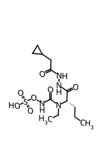 CCC[C@@H](C(=O)NNC(=O)CC1CC1)N(CC)C(=O)NOS(=O)(=O)O